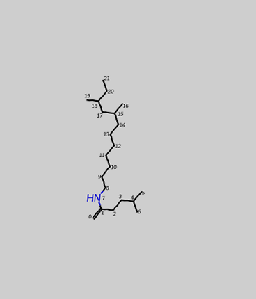 C=C(CCC(C)C)NCCCCCCCC(C)CC(C)CC